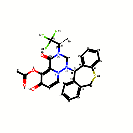 CC(=O)Oc1c2n(ccc1=O)N([C@@H]1c3ccccc3CSc3ccccc31)CN([C@@H](C)C(F)(F)F)C2=O